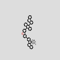 CC1(C)c2ccc(-c3ccc4oc5ccc(-c6c7ccccc7c(-c7cccc8c7ccc7ccccc78)c7ccccc67)cc5c4c3)cc2-c2ccc3ccccc3c21